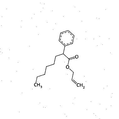 C=CCOC(=O)C(CCCCCC)c1ccccc1